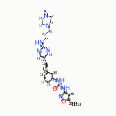 CN1CCN(CCCNc2ncc(C#Cc3cccc(NC(=O)Nc4cc(C(C)(C)C)on4)c3)cn2)CC1